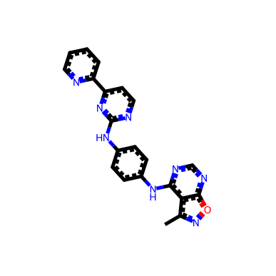 Cc1noc2ncnc(Nc3ccc(Nc4nccc(-c5ccccn5)n4)cc3)c12